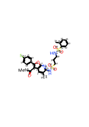 CCc1cc2c(C(=O)NC)c(-c3ccc(F)cc3)oc2nc1NS(=O)(=O)CCCNS(=O)(=O)c1ccccc1C